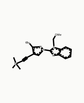 COCn1c(-n2cc(C#C[Si](C)(C)C)c(C(C)(C)C)n2)nc2ccccc21